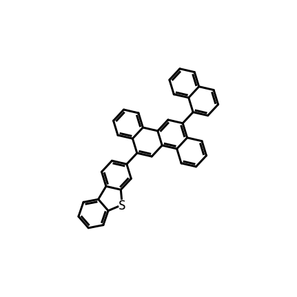 c1ccc2c(-c3cc4c5ccccc5c(-c5ccc6c(c5)sc5ccccc56)cc4c4ccccc34)cccc2c1